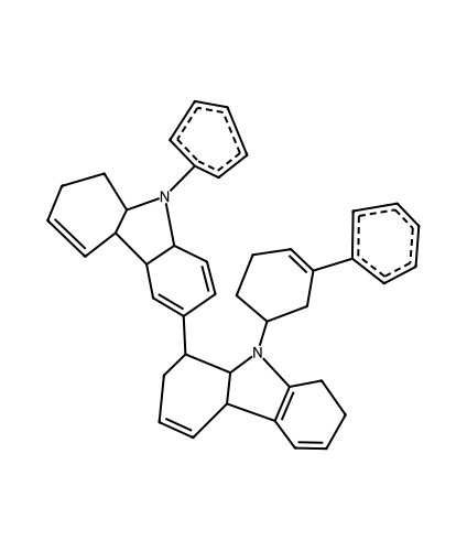 C1=CC2=C(CC1)N(C1CCC=C(c3ccccc3)C1)C1C2C=CCC1C1=CC2C3C=CCCC3N(c3ccccc3)C2C=C1